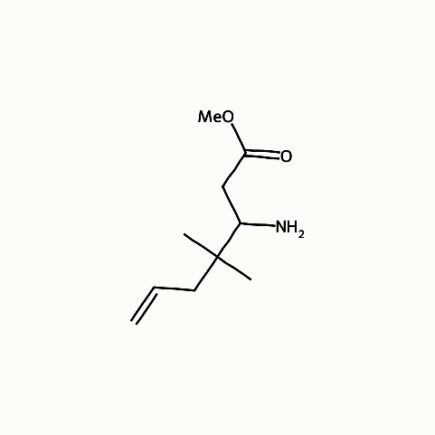 C=CCC(C)(C)C(N)CC(=O)OC